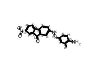 Cc1cc(N=Nc2ccc3c(c2)C(=O)c2cc([N+](=O)[O-])ccc2-3)ccc1N